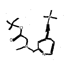 CN(CC(=O)OC(C)(C)C)Cc1cc(C#C[Si](C)(C)C)ccn1